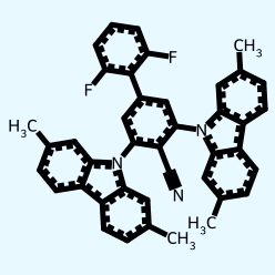 Cc1ccc2c3ccc(C)cc3n(-c3cc(-c4c(F)cccc4F)cc(-n4c5cc(C)ccc5c5ccc(C)cc54)c3C#N)c2c1